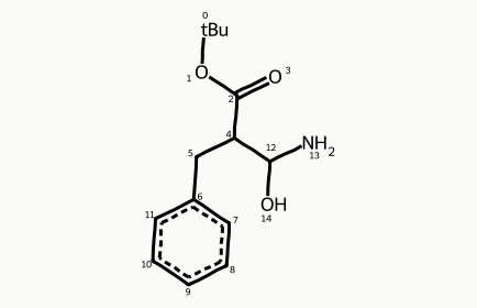 CC(C)(C)OC(=O)C(Cc1ccccc1)C(N)O